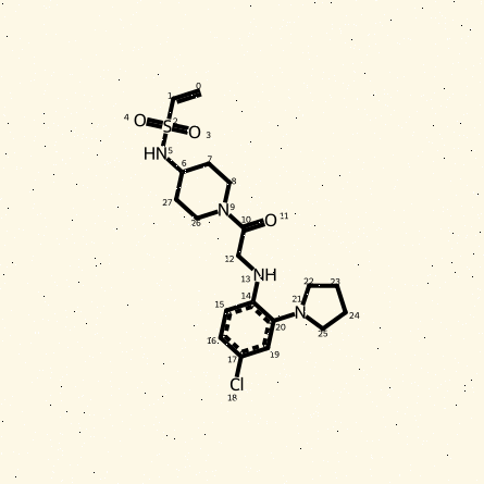 C=CS(=O)(=O)NC1CCN(C(=O)CNc2ccc(Cl)cc2N2CCCC2)CC1